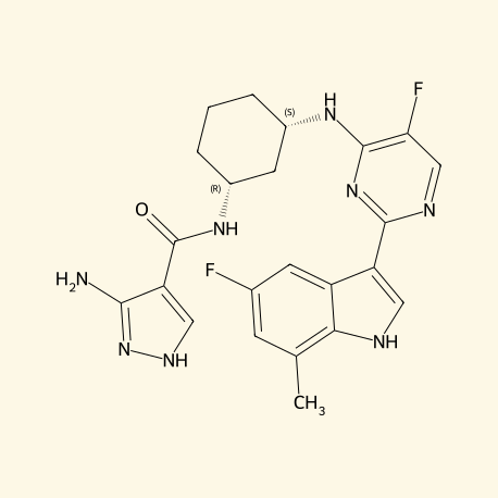 Cc1cc(F)cc2c(-c3ncc(F)c(N[C@H]4CCC[C@@H](NC(=O)c5c[nH]nc5N)C4)n3)c[nH]c12